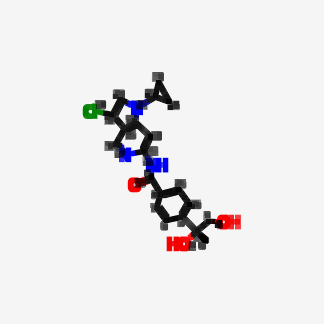 C[C@](O)(CO)c1ccc(C(=O)Nc2cc3c(cn2)c(Cl)cn3C2CC2)cc1